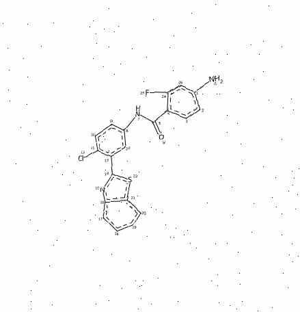 Nc1ccc(C(=O)Nc2ccc(Cl)c(-c3nc4ccccc4s3)c2)c(F)c1